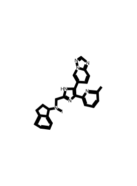 Cc1cccc(-c2nc(CN(I)C3CCc4ccccc43)[nH]c2-c2ccc3ncnn3c2)n1